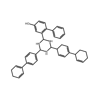 Oc1ccc(-c2ccccc2)c(C2NC(c3ccc(C4=CCCC=C4)cc3)NC(C3C=CC(C4C=CCCC4)=CC3)N2)c1